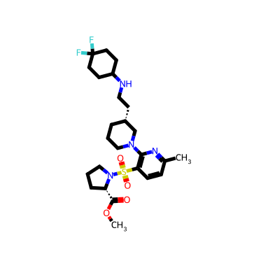 COC(=O)[C@@H]1CCCN1S(=O)(=O)c1ccc(C)nc1N1CCC[C@H](CCNC2CCC(F)(F)CC2)C1